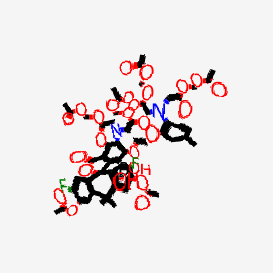 CC(=O)OCOC(=O)CN(CC(=O)OCOC(C)=O)c1ccc(C)cc1OCCOc1c(N(CC(=O)OCOC(C)=O)CC(=O)OCOC(C)=O)cc2c(c1B(O)O)C1(OC2=O)c2cc(F)c(OC(C)=O)cc2C(C)(C)c2cc(OC(C)=O)c(F)cc21